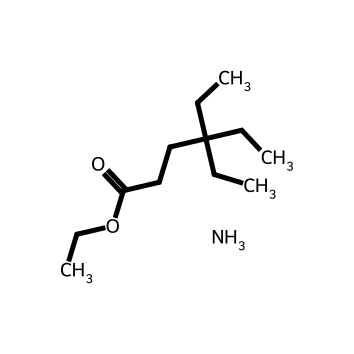 CCOC(=O)CCC(CC)(CC)CC.N